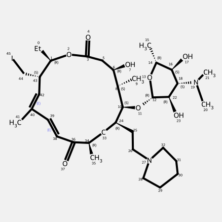 CC[C@H]1OC(=O)C[C@@H](O)[C@H](C)[C@@H](O[C@@H]2O[C@H](C)[C@@H](O)[C@H](N(C)C)[C@H]2O)[C@@H](CCN2CCCCC2)C[C@@H](C)C(=O)/C=C/C(C)=C/[C@@H]1CI